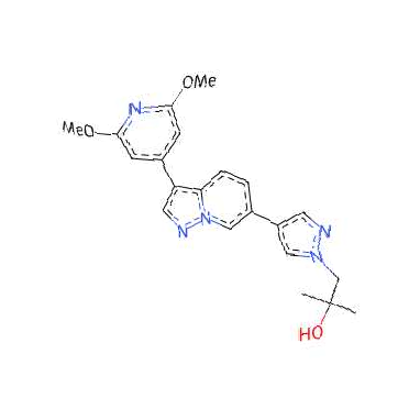 COc1cc(-c2cnn3cc(-c4cnn(CC(C)(C)O)c4)ccc23)cc(OC)n1